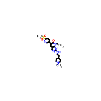 CCn1c(=O)c(-c2ccc(S(C)(=O)=O)nc2)cc2cnc(NCCC3CCN(C)CC3)nc21